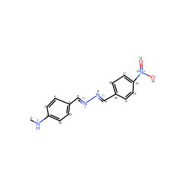 CNc1ccc(/C=N/N=C/c2ccc([N+](=O)[O-])cc2)cc1